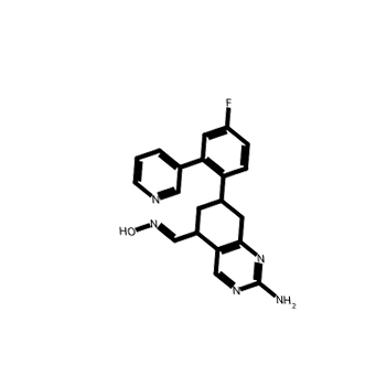 Nc1ncc2c(n1)CC(c1ccc(F)cc1-c1cccnc1)CC2C=NO